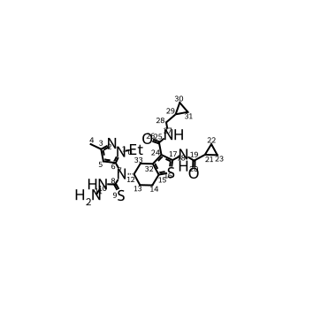 CCn1nc(C)cc1N(C(=S)NN)[C@H]1CCc2sc(NC(=O)C3CC3)c(C(=O)NCC3CC3)c2C1